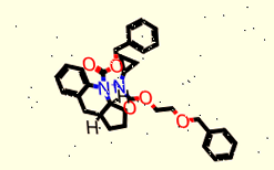 O=C(OCCOCc1ccccc1)N(C1CC1)[N@@+]1(C(=O)OCc2ccccc2)c2ccccc2C[C@H]2CCC[C@H]21